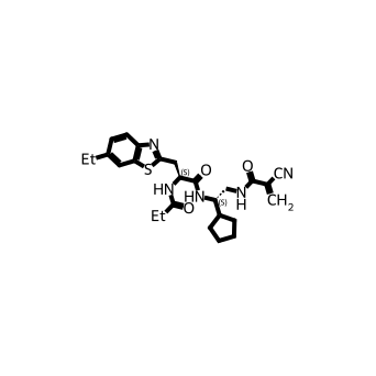 C=C(C#N)C(=O)NC[C@@H](NC(=O)[C@H](Cc1nc2ccc(CC)cc2s1)NC(=O)CC)C1CCCC1